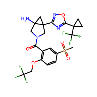 CS(=O)(=O)c1ccc(OCC(F)(F)F)c(C(=O)N2CC3(N)CC3(c3noc(C4(C(F)(F)F)CC4)n3)C2)c1